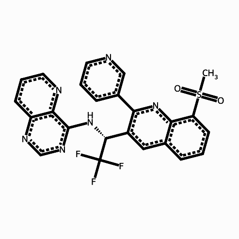 CS(=O)(=O)c1cccc2cc([C@@H](Nc3ncnc4cccnc34)C(F)(F)F)c(-c3cccnc3)nc12